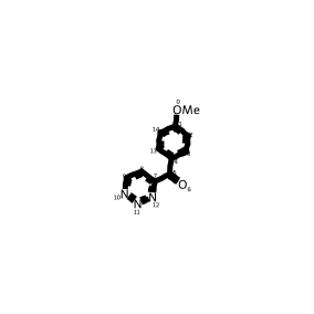 COc1ccc(C(=O)c2ccnnn2)cc1